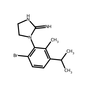 Cc1c(C(C)C)ccc(Br)c1N1CCNC1=N